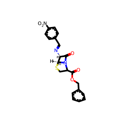 O=C(OCc1ccccc1)C1CS[C@H]2[C@H](N=Cc3ccc([N+](=O)[O-])cc3)C(=O)N12